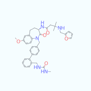 CNC(=O)NCc1ccccc1-c1ccc(CN2C(=O)[C@H](NC(=O)CC(C)(C)NCc3ccco3)CCc3cc(OC)ccc32)cc1